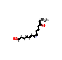 CCOC(=O)CC(O)CCC/C=C\CCCCCCO